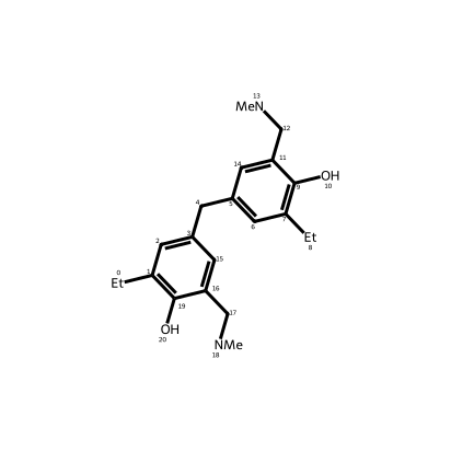 CCc1cc(Cc2cc(CC)c(O)c(CNC)c2)cc(CNC)c1O